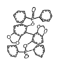 O=P(Oc1ccc2c(c1-c1c(OP(=O)(c3ccccc3)c3ccccc3)ccc3c1OCO3)OCO2)(c1ccccc1)c1ccccc1